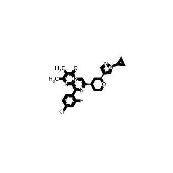 Cc1nc2c(-c3ccc(Cl)cc3F)nc([C@@H]3CCO[C@H](c4cnn(C5CC5)c4)C3)cn2c(=O)c1C